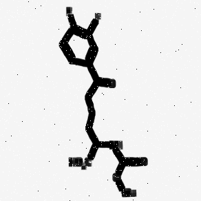 CC(C)(C)OC(=O)NC(CCCC(=O)c1ccc(F)c(F)c1)C(=O)O